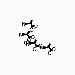 C=C(C#N)C(=O)[O-].C=C(C#N)C(=O)[O-].C=C(C#N)C(=O)[O-].C=C(C#N)C(=O)[O-].[C+4]